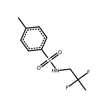 Cc1ccc(S(=O)(=O)NCC(C)(F)F)cc1